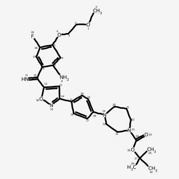 COCCOc1cc(N)c(C(=N)c2cc(-c3ccc(N4CCCN(C(=O)OC(C)(C)C)CC4)cc3)no2)cc1F